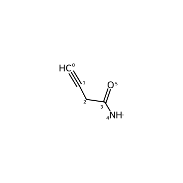 C#CCC([NH])=O